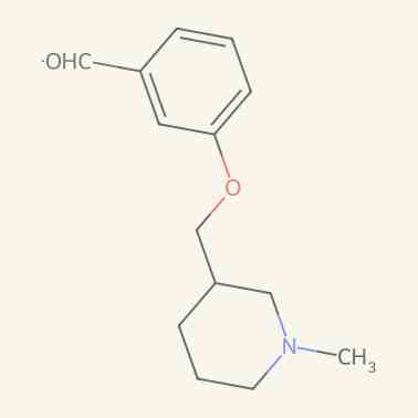 CN1CCCC(COc2cccc([C]=O)c2)C1